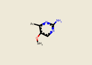 CC(=O)c1nc(N)ncc1O[SiH3]